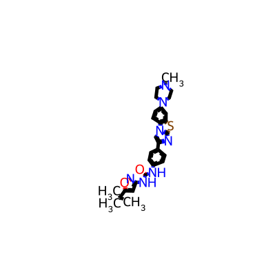 CN1CCN(c2ccc3c(c2)sc2nc(-c4ccc(NC(=O)Nc5cc(C(C)(C)C)on5)cc4)cn23)CC1